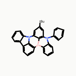 CC(C)(C)c1cc2c3c(c1)-n1c4ccccc4c4cccc(c41)B3c1ccccc1N2c1ccccc1